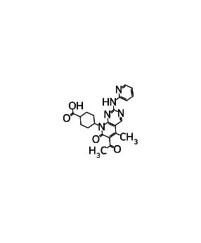 CC(=O)c1c(C)c2cnc(Nc3ccccn3)nc2n(C2CCC(C(=O)O)CC2)c1=O